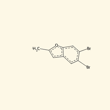 [CH2]c1cc2cc(Br)c(Br)cc2o1